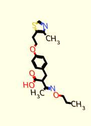 CCCON=C(C)C(Cc1ccc(OCCc2scnc2C)cc1)C(=O)O